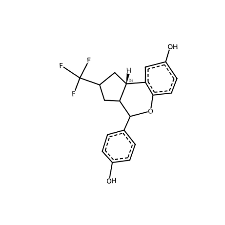 Oc1ccc(C2Oc3ccc(O)cc3[C@H]3CC(C(F)(F)F)CC23)cc1